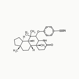 CC1(C)C(Oc2ccc(C#N)cc2)C2NC(=O)CC[C@]2(C)[C@@H]2CC[C@]3(C)CCC[C@H]3[C@@H]21